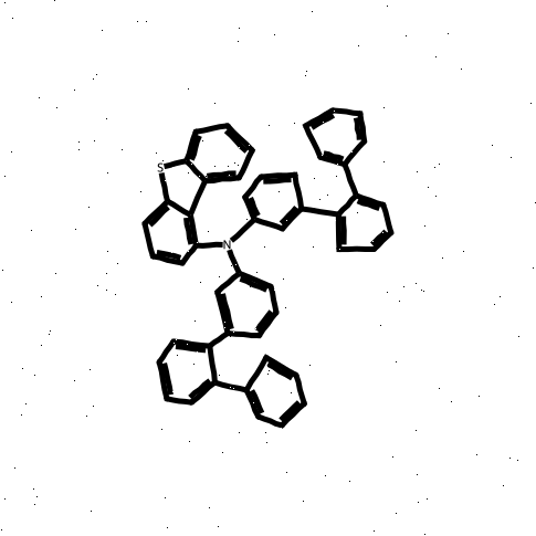 c1ccc(-c2ccccc2-c2cccc(N(c3cccc(-c4ccccc4-c4ccccc4)c3)c3cccc4sc5ccccc5c34)c2)cc1